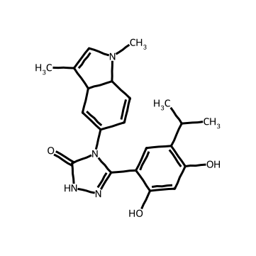 CC1=CN(C)C2C=CC(n3c(-c4cc(C(C)C)c(O)cc4O)n[nH]c3=O)=CC12